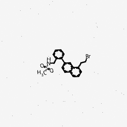 CS(=O)(=O)NCc1ccccc1-c1ccc2cccc(CCBr)c2c1